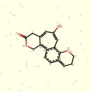 O=C1CC2=CC(O)=Cc3c4c(ccc3=C2CO1)=CCCO4